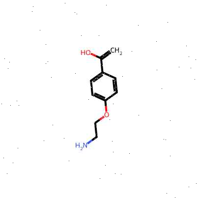 C=C(O)c1ccc(OCCN)cc1